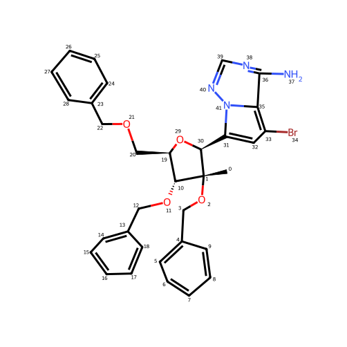 C[C@@]1(OCc2ccccc2)[C@H](OCc2ccccc2)[C@@H](COCc2ccccc2)O[C@H]1c1cc(Br)c2c(N)ncnn12